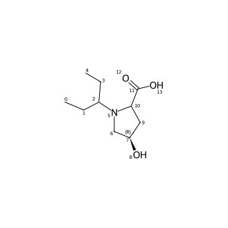 CCC(CC)N1C[C@H](O)CC1C(=O)O